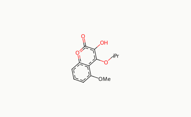 COc1cccc2oc(=O)c(O)c(OC(C)C)c12